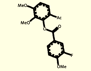 COc1ccc(C(=O)Oc2c(C(C)=O)ccc(OC)c2OC)cc1F